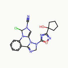 N#CN1C=C2N(c3ccccc3C3=NCN(c4nc(C5(O)CCCC5)no4)N23)C1Cl